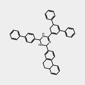 C1=CC2CCc3cc(C4N=C(C5=CC(c6ccccc6)=CC(c6ccccc6)C5)NC(c5ccc(-c6ccccc6)cc5)N4)ccc3C2C=C1